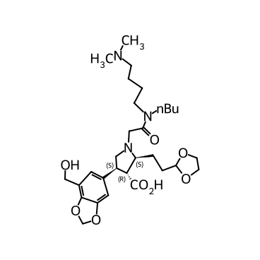 CCCCN(CCCCN(C)C)C(=O)CN1C[C@H](c2cc(CO)c3c(c2)OCO3)[C@@H](C(=O)O)[C@@H]1CCC1OCCO1